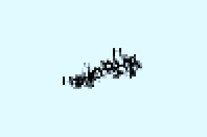 C=Nn1cc(-c2[nH]c3ccc(C4CCN(C(=O)NC5CCNC5)CC4)cc3c2C(C)C)c(C)c(C)/c1=N/C